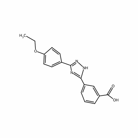 CCOc1ccc(-c2n[nH]c(-c3cccc(C(=O)O)c3)n2)cc1